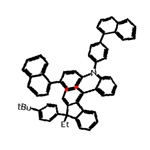 CCC1(c2ccc(C(C)(C)C)cc2)c2ccccc2-c2c(-c3ccccc3N(c3ccc(-c4cccc5ccccc45)cc3)c3ccc(-c4cccc5ccccc45)cc3)cccc21